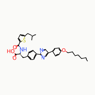 CCCCCCCOc1ccc(-c2cnc(-c3ccc(C[C@H](NC(=O)c4ccc(CC(C)C)s4)C(=O)O)cc3)nc2)cc1